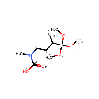 CO[Si](OC)(OC)C(C)CCN(C)C(=O)O